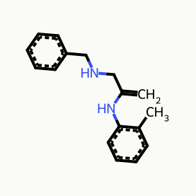 C=C(CNCc1ccccc1)Nc1ccccc1C